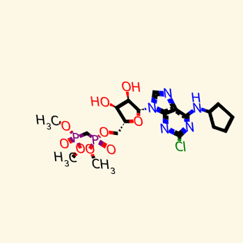 COP(=O)(CP(=O)(OC)OC[C@H]1O[C@@H](n2cnc3c(NC4CCCC4)nc(Cl)nc32)[C@H](O)[C@@H]1O)OC